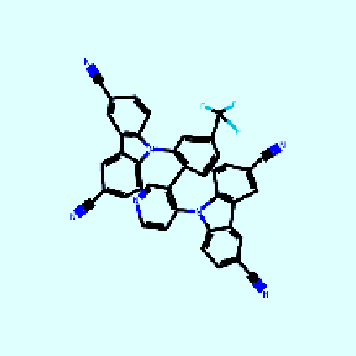 N#Cc1ccc2c(c1)c1cc(C#N)ccc1n2-c1ccncc1-c1ccc(C(F)(F)F)cc1-n1c2ccc(C#N)cc2c2cc(C#N)ccc21